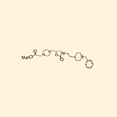 COC(=O)CN1CCN(CC2CN(CCC3CCN(Cc4ccccc4)CC3)C(=O)O2)CC1